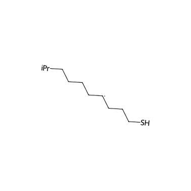 CC(C)CCCC[CH]CCCS